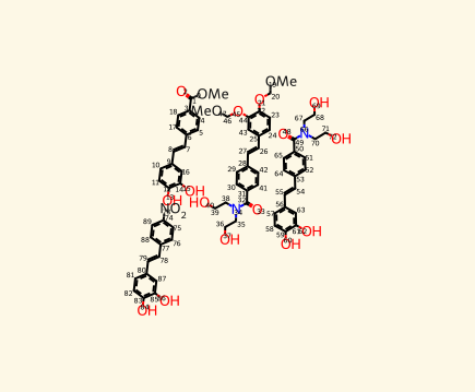 COC(=O)c1ccc(C=Cc2ccc(O)c(O)c2)cc1.COCOc1ccc(C=Cc2ccc(C(=O)N(CCO)CCO)cc2)cc1OCOC.O=C(c1ccc(C=Cc2ccc(O)c(O)c2)cc1)N(CCO)CCO.O=[N+]([O-])c1ccc(C=Cc2ccc(O)c(O)c2)cc1